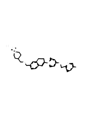 CS(=O)(=O)N1CCC(CNCc2ccc3c(c2)CCC(n2ccc(OCc4ccc(Cl)cn4)cc2=O)=C3)CC1